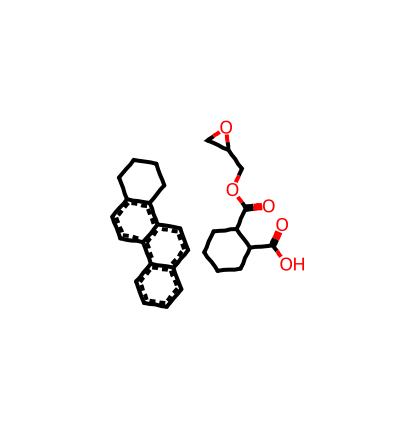 O=C(O)C1CCCCC1C(=O)OCC1CO1.c1ccc2c(c1)ccc1c3c(ccc12)CCCC3